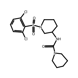 O=C(NC1CCCN(S(=O)(=O)c2c(Cl)cccc2Cl)C1)N1CCCCC1